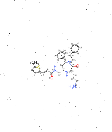 Cc1ccc(/C=C/C(=O)NC[C@@H]2CCN(CC(c3ccccc3)c3ccccc3)C(=O)[C@H](CCCN)N2)s1